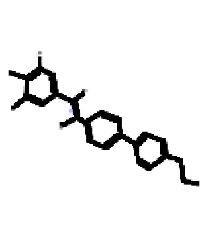 CCCc1ccc(-c2ccc(/C(F)=C(\F)c3cc(F)c(F)c(F)c3)cc2)cc1